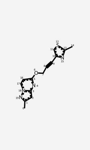 Cc1cc2nc(OCC#Cc3csc(C)n3)ccn2n1